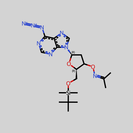 CC(C)=NOC1C[C@H](n2cnc3c(N=[N+]=[N-])ncnc32)O[C@@H]1CO[Si](C)(C)C(C)(C)C